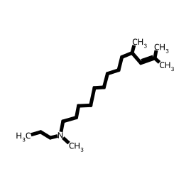 CCCN(C)CCCCCCCCCC(C)C=C(C)C